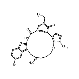 CCn1cc2cc(c1=O)-c1cnn(C)c1OCCC[C@@H](C)Cn1c(nc3ccc(Br)cc31)NC2=O